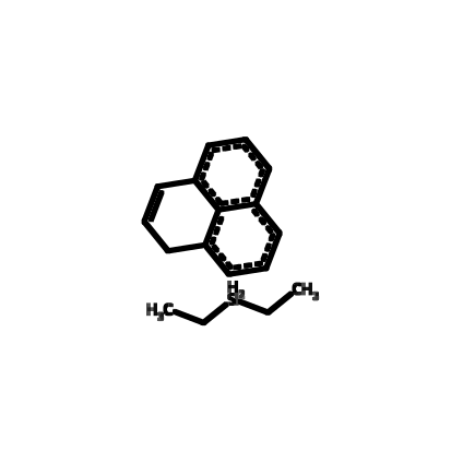 C1=Cc2cccc3cccc(c23)C1.CC[SiH2]CC